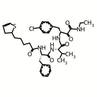 CCNC(=O)C(=O)[C@H](Cc1ccc(Cl)cc1)NC(=O)[C@@H](NC(=O)[C@H](Cc1ccccc1)NC(=O)CCCCC1CC=CS1)C(C)C